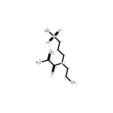 [CH2]CCN(CCCS(=O)(=O)O)C(=O)C(=C)C